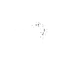 Cn1c(C(=O)Nc2cccc(-c3cccc(NC(=O)c4nc5c(n4C)CCN(CCC46CCC(C(=O)O)(CC4)C6)C5)c3Cl)c2Cl)nc2c1CCNC2